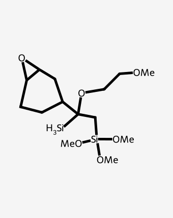 COCCOC([SiH3])(C[Si](OC)(OC)OC)C1CCC2OC2C1